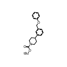 CC(C)(C)OC(=O)N1CCC(c2cccc(COc3ccccc3)c2)CC1